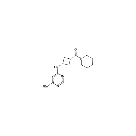 CC(C)(C)c1cc(N[C@H]2C[C@@H](C(=O)N3CCCCC3)C2)ncn1